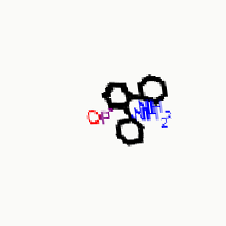 NC1(c2cccc(P=O)c2C2(N)CCCCC2)CCCCC1